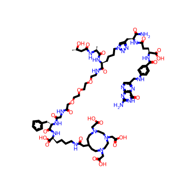 C[C@H](O)CC(=O)N[C@H](C)C(=O)N[C@@H](CCCCn1cc(C[C@H](NC(=O)CC[C@H](NC(=O)c2ccc(NCc3cnc4nc(N)[nH]c(=O)c4n3)cc2)C(=O)O)C(N)=O)nn1)C(=O)NCCOCCOCCOCC(=O)NCC(=O)N[C@@H](Cc1ccccc1)C(=O)N[C@@H](CCCCNC(=O)CC1CCN(CC(=O)O)CCN(CC(=O)O)CCN(CC(=O)O)CC1)C(=O)O